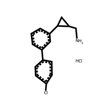 Cl.NCC1CC1c1cccc(-c2ccc(Cl)cc2)c1